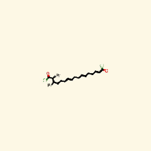 CC(C)C(CCCCCCCCCCCCCC(=O)Cl)C(C(=O)Cl)C(C)C